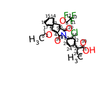 CCOc1c2c(c(OCC(F)(F)F)c3ccccc13)C(=O)N(c1ccc(C(CC)C(=O)O)cc1Cl)C2=O